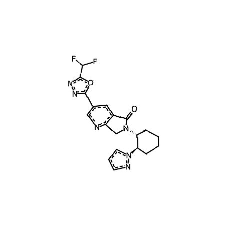 O=C1c2cc(-c3nnc(C(F)F)o3)cnc2CN1[C@@H]1CCCC[C@H]1n1cccn1